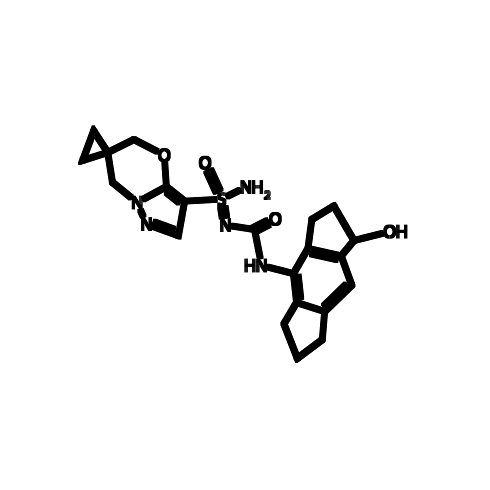 NS(=O)(=NC(=O)Nc1c2c(cc3c1CCC3O)CCC2)c1cnn2c1OCC1(CC1)C2